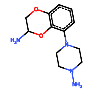 NC1COc2cccc(N3CCN(N)CC3)c2O1